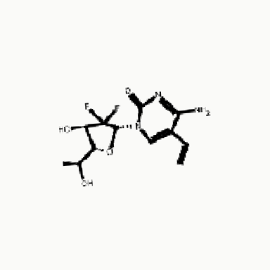 C=Cc1cn([C@@H]2O[C@H]([C@H](C)O)[C@@H](O)C2(F)F)c(=O)nc1N